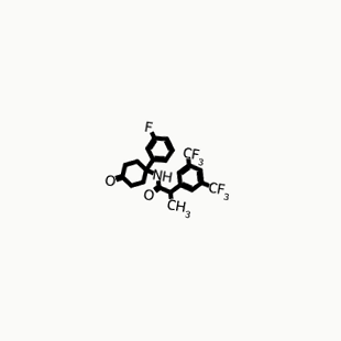 CC(C(=O)NC1(c2cccc(F)c2)CCC(=O)CC1)c1cc(C(F)(F)F)cc(C(F)(F)F)c1